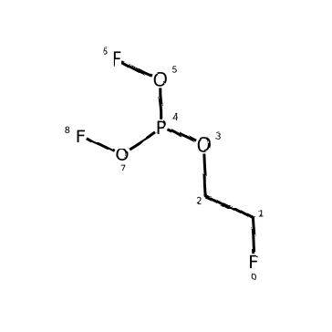 FCCOP(OF)OF